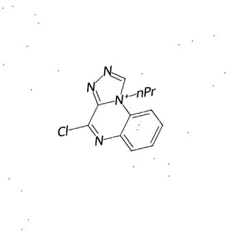 CCC[N+]12C=NN=C1C(Cl)=Nc1ccccc12